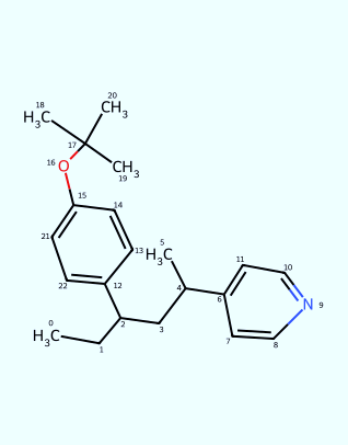 CCC(CC(C)c1ccncc1)c1ccc(OC(C)(C)C)cc1